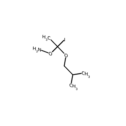 CC(C)COC(C)(I)ON